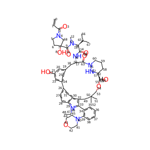 C=CC(=O)N1CCC(O)(C(=O)N(C)[C@H](C(=O)N[C@H]2Cc3cc(O)cc(c3)-c3ccc4c(c3)c(c(-c3ccccc3N3CCOCC3)n4CC)CC(C)(C)COC(=O)[C@@H]3CCCN(N3)C2=O)C(C)C)C1